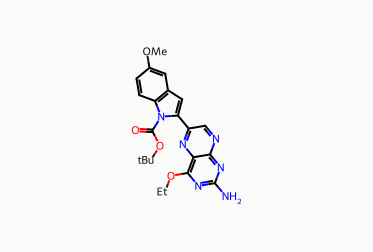 CCOc1nc(N)nc2ncc(-c3cc4cc(OC)ccc4n3C(=O)OC(C)(C)C)nc12